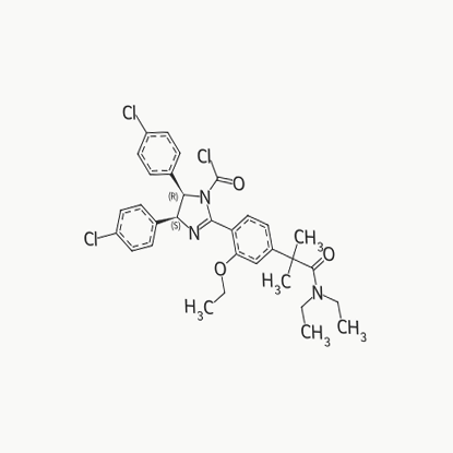 CCOc1cc(C(C)(C)C(=O)N(CC)CC)ccc1C1=N[C@@H](c2ccc(Cl)cc2)[C@@H](c2ccc(Cl)cc2)N1C(=O)Cl